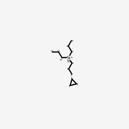 C1CC1.CCC[SiH](CCC)CCC